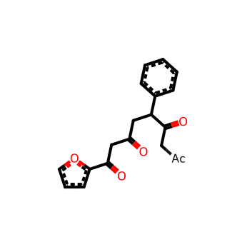 CC(=O)CC(=O)C(CC(=O)CC(=O)c1ccco1)c1ccccc1